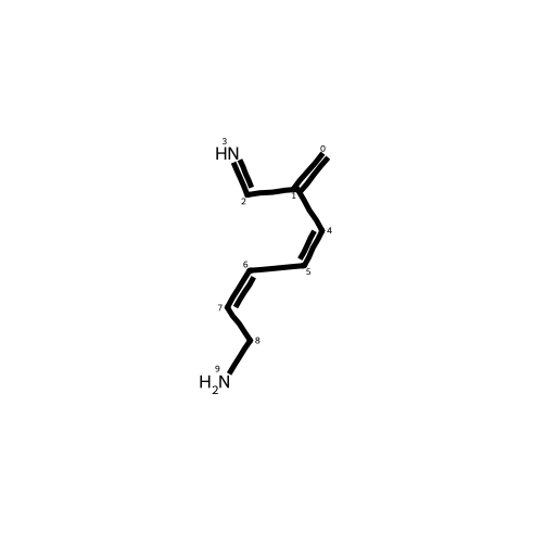 C=C(C=N)/C=C\C=C/CN